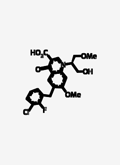 COC[C@@H](CO)n1cc(C(=O)O)c(=O)c2cc(Cc3cccc(Cl)c3F)c(OC)cc21